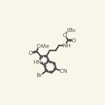 COC(=O)c1[nH]c2c(Br)cc(C#N)cc2c1CCCNC(=O)OC(C)(C)C